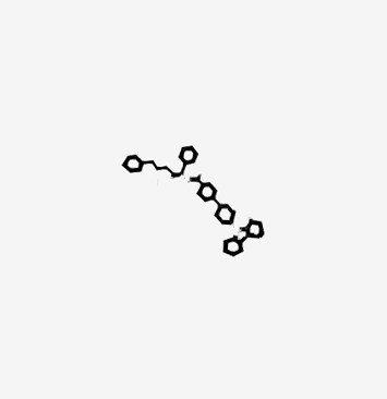 CC/C(=N\C(=C(/C)CCCc1ccccc1)c1ccccc1)c1ccc(-c2ccc(-n3c4ccccc4c4c#ccc(O)c43)cc2)cc1